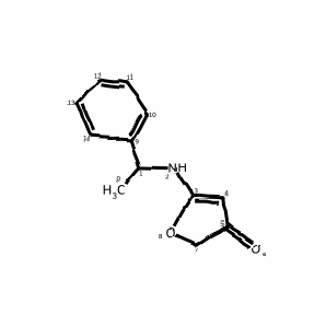 CC(NC1=CC(=O)CO1)c1ccccc1